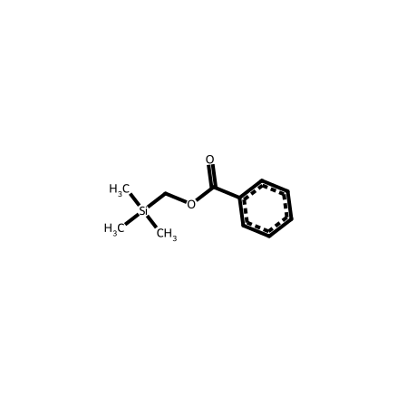 C[Si](C)(C)COC(=O)c1ccccc1